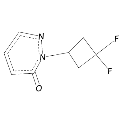 O=c1cccnn1C1CC(F)(F)C1